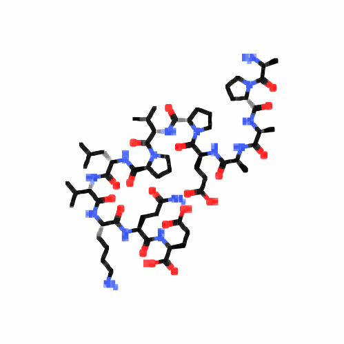 CC(C)C[C@H](NC(=O)[C@@H]1CCCN1C(=O)[C@@H](NC(=O)[C@@H]1CCCN1C(=O)[C@H](CCC(=O)O)NC(=O)[C@H](C)NC(=O)[C@H](C)NC(=O)[C@@H]1CCCN1C(=O)[C@H](C)N)C(C)C)C(=O)N[C@H](C(=O)N[C@@H](CCCCN)C(=O)N[C@@H](CCC(N)=O)C(=O)N[C@@H](CCC(=O)O)C(=O)O)C(C)C